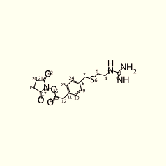 N=C(N)NCCSCc1ccc(CC(=O)ON2C(=O)CCC2=O)cc1